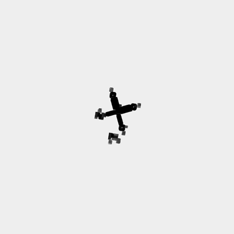 O=[S](=O)([O-])[Pd+].P